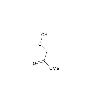 COC(=O)COO